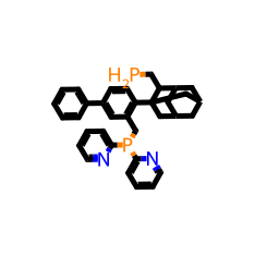 PCC1C2CC3CC(C2)CC1(c1ccc(-c2ccccc2)cc1CP(c1ccccn1)c1ccccn1)C3